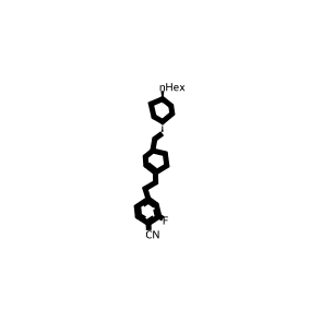 CCCCCC[C@H]1CC[C@H](CCC2CC=C(CCc3ccc(C#N)c(F)c3)CC2)CC1